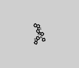 c1ccc(N(c2ccc3sc4ccccc4c3c2)c2cccc3c2oc2ccc4c(sc5ccc6ccccc6c54)c23)cc1